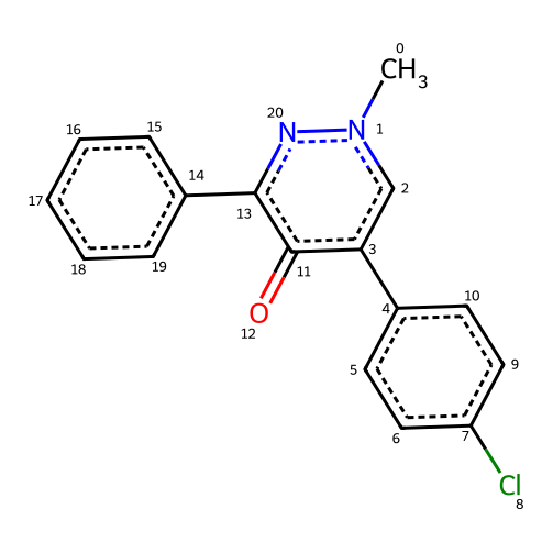 Cn1cc(-c2ccc(Cl)cc2)c(=O)c(-c2ccccc2)n1